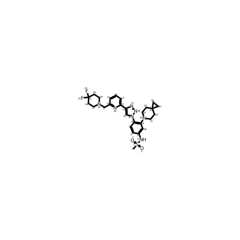 CS(=O)(=O)Nc1ccc(-n2cc(-c3cccc(CN4CCC(F)(F)CC4)n3)nn2)c(N2CCC3(CC2)CC3)c1